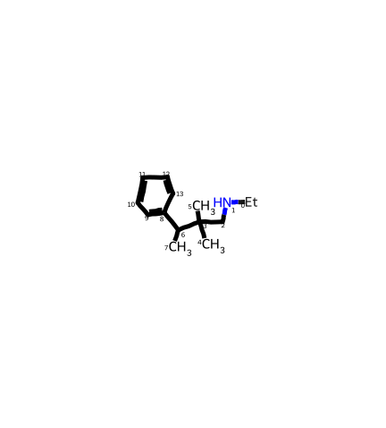 CCNCC(C)(C)C(C)c1ccccc1